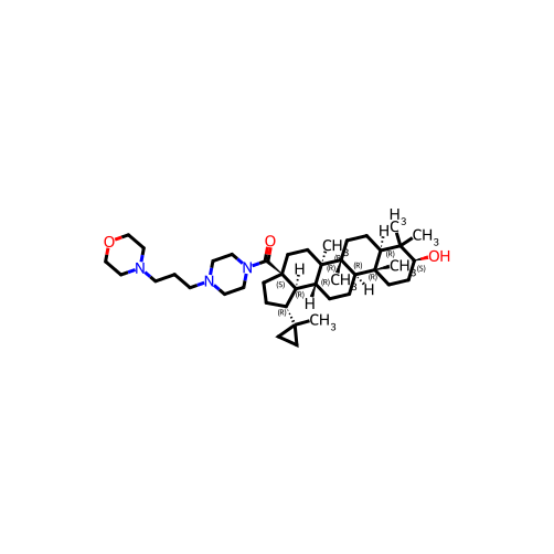 CC1([C@@H]2CC[C@]3(C(=O)N4CCN(CCCN5CCOCC5)CC4)CC[C@]4(C)[C@H](CC[C@@H]5[C@@]6(C)CC[C@H](O)C(C)(C)[C@@H]6CC[C@]54C)[C@@H]23)CC1